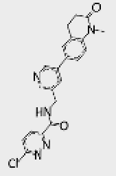 CN1C(=O)CCc2cc(-c3cncc(CNC(=O)c4ccc(Cl)nn4)c3)ccc21